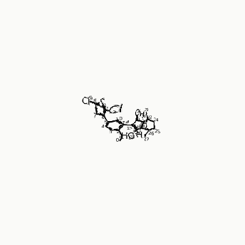 CCc1ccc(-c2cc(Cl)sc2Cl)cc1C1=C(O)[C@H]2[C@@H](C1=O)C1(C)CCC2(C)O1